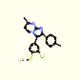 CCCSc1ccc(-c2c(-c3ccc(C)cc3)nc3nc(C)ccn23)cc1Cl